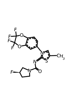 Cc1cn(-c2ccc3c(c2)OC(F)(F)C(F)(F)O3)/c(=N/C(=O)N2CC[C@@H](F)C2)s1